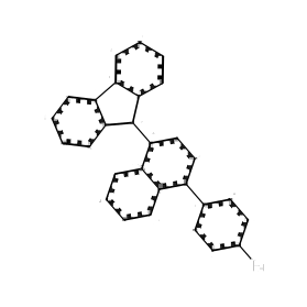 Brc1ccc(-c2ccc(C3c4ccccc4-c4ccccc43)c3ccccc23)cc1